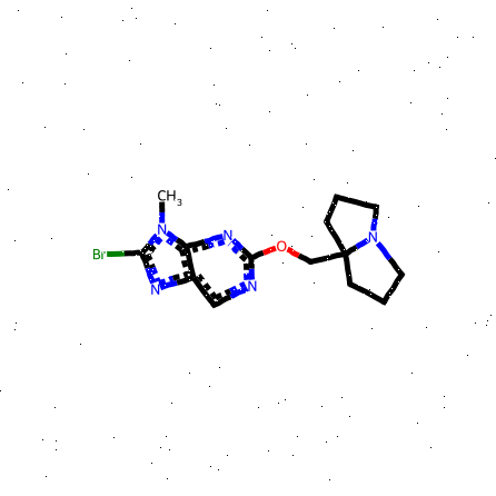 Cn1c(Br)nc2cnc(OCC34CCCN3CCC4)nc21